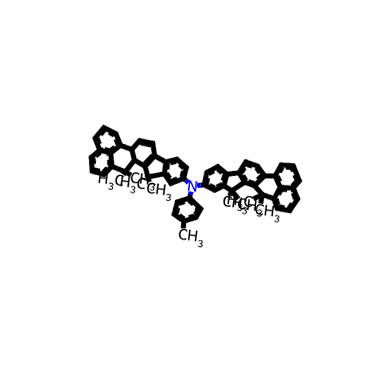 Cc1ccc(N(c2ccc3c(c2)C(C)(C)C2=C3C=CC3c4cccc5cccc(c45)C(C)(C)C23)c2ccc3c(c2)C(C)(C)c2c-3ccc3c2C(C)(C)c2cccc4cccc-3c24)cc1